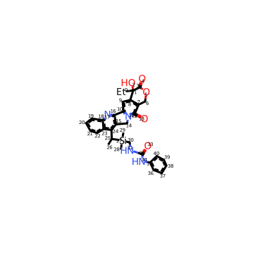 CCC1(O)C(=O)OCc2c1cc1n(c2=O)Cc2c-1nc1ccccc1c2C(C)[Si](C)(C)CNC(=O)Nc1ccccc1